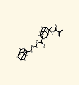 C=C(C)C(=O)OC1(C)C2CC3CC1CC(C(=O)OCOCC1C4CC5CC(C4)CC1C5)(C3)C2